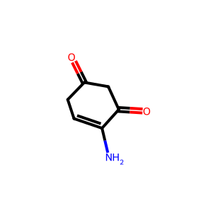 NC1=CCC(=O)CC1=O